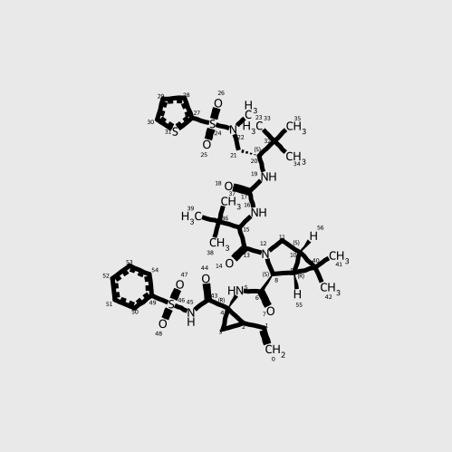 C=CC1C[C@]1(NC(=O)[C@@H]1[C@@H]2[C@H](CN1C(=O)C(NC(=O)N[C@H](CN(C)S(=O)(=O)c1cccs1)C(C)(C)C)C(C)(C)C)C2(C)C)C(=O)NS(=O)(=O)c1ccccc1